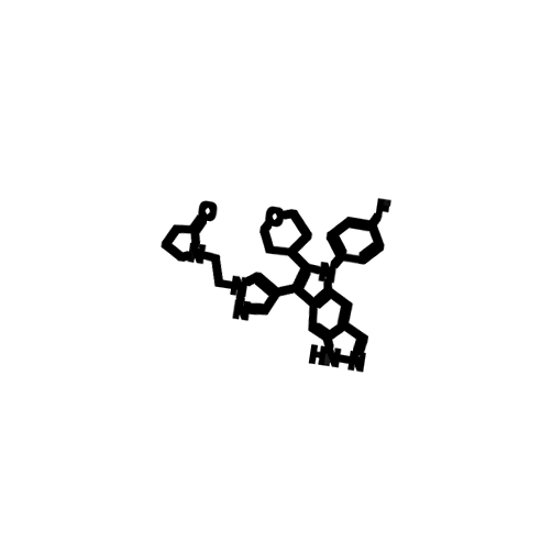 O=C1CCCN1CCn1cc(-c2c(C3CCOCC3)n(-c3ccc(F)cc3)c3cc4cn[nH]c4cc23)cn1